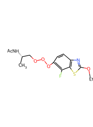 CCOc1nc2ccc(OOOC[C@H](C)NC(C)=O)c(F)c2s1